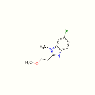 COCCc1nc2ccc(Br)cc2n1C